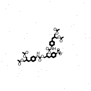 CC(=O)OCC(=Cc1ccc(NC(=O)OCC(=Cc2ccc([N+](=O)[O-])cc2)COC(=O)Nc2ccc(C=C(COC(C)=O)COC(C)=O)cc2)cc1)COC(C)=O